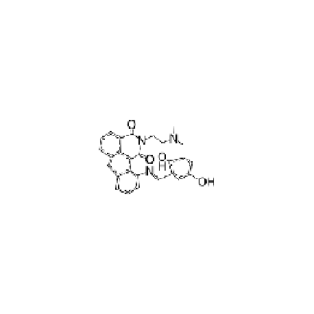 CN(C)CCN1C(=O)c2cccc3cc4cccc(N=Cc5cc(O)ccc5O)c4c(c23)C1=O